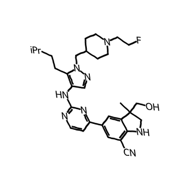 CC(C)CCc1c(Nc2nccc(-c3cc(C#N)c4c(c3)C(C)(CO)CN4)n2)cnn1CC1CCN(CCF)CC1